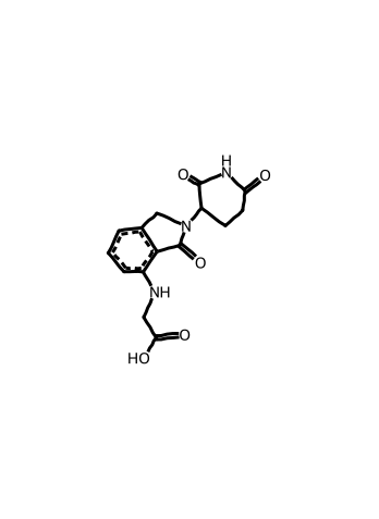 O=C(O)CNc1cccc2c1C(=O)N(C1CCC(=O)NC1=O)C2